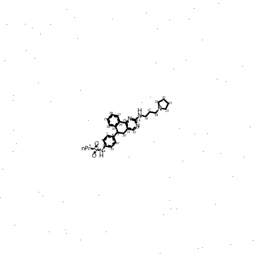 CCCS(=O)(=O)Nc1ccc(C2Cc3cnc(NCCCN4CCCC4)nc3-c3ccccc32)cc1